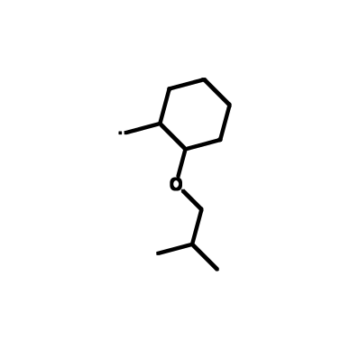 [CH2]C1CCCCC1OCC(C)C